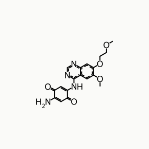 COCCOc1cc2ncnc(NC3=CC(=O)C(N)=CC3=O)c2cc1OC